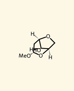 CO[C@@H]1C[C@H]2OC[C@@H](O1)[C@@H]2O